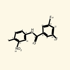 Cc1ccc(NC(=O)c2cc(F)cc(F)c2)cc1[N+](=O)[O-]